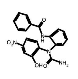 NC(=O)N(c1ccc([N+](=O)[O-])cc1O)c1ccccc1NC(=O)c1ccccc1